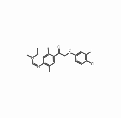 CCN(C)/C=N\c1cc(C)c(C(=O)CNc2ccc(Cl)c(F)c2)cc1C